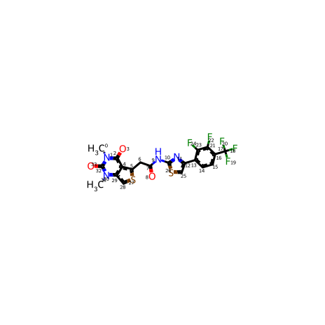 Cn1c(=O)c2c(CC(=O)Nc3nc(-c4ccc(C(F)(F)F)c(F)c4F)cs3)scc2n(C)c1=O